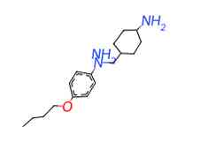 CCCCOc1ccc(N(N)CC2CCC(N)CC2)cc1